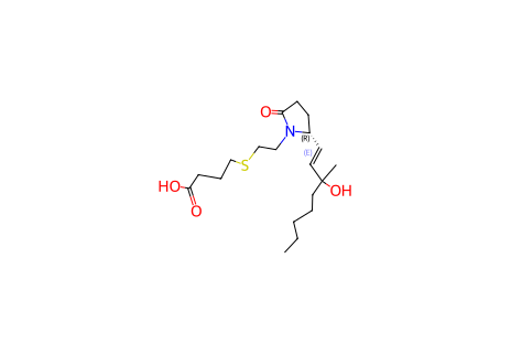 CCCCCC(C)(O)/C=C/[C@H]1CCC(=O)N1CCSCCCC(=O)O